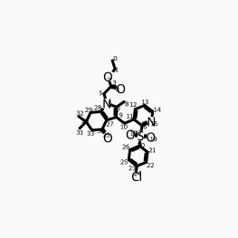 CCOC(=O)Cn1c(C)c(Cc2cccnc2S(=O)(=O)c2ccc(Cl)cc2)c2c1CC(C)(C)CC2=O